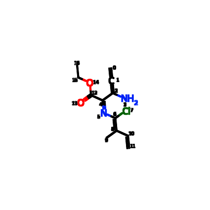 C=C=C(N)/C(=N\C(Cl)=C(/C)C=C)C(=O)OCC